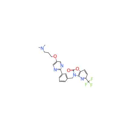 CN(C)CCCOc1cnc(-c2cccc(Cn3c(=O)oc4ccc(C(F)(F)F)nc43)c2)nc1